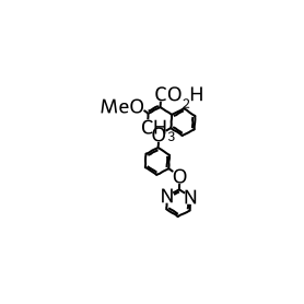 COC(C)=C(C(=O)O)c1ccccc1Oc1cccc(Oc2ncccn2)c1